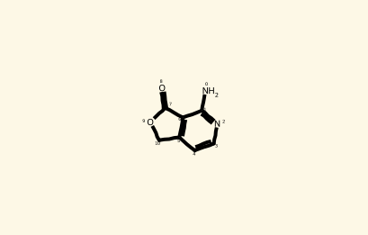 Nc1nccc2c1C(=O)OC2